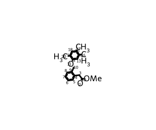 COC(=O)Cc1ccccc1COc1cc(C)c(C)cc1C